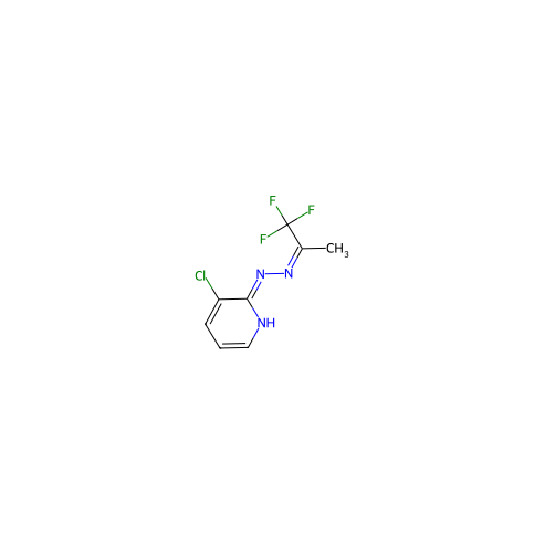 C/C(=N/N=c1\[nH]cccc1Cl)C(F)(F)F